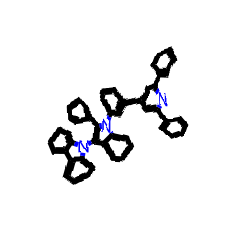 c1ccc(-c2cc(-c3cccc(-n4c(-c5ccccc5)c(-n5c6ccccc6c6ccccc65)c5ccccc54)c3)cc(-c3ccccc3)n2)cc1